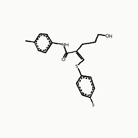 Cc1ccc(NC(=O)/C(=C\Sc2ccc(F)cc2)CCCO)cc1